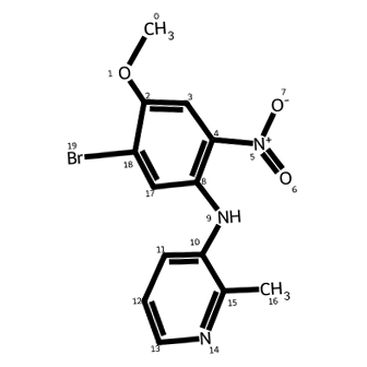 COc1cc([N+](=O)[O-])c(Nc2cccnc2C)cc1Br